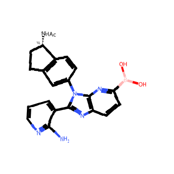 CC(=O)N[C@H]1CCc2cc(-n3c(-c4cccnc4N)nc4ccc(B(O)O)nc43)ccc21